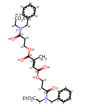 CCOC(=O)CN(Cc1ccccc1)C(=O)CCOC(=O)/C=C(\C)C(=O)OCCC(=O)N(CC(=O)OCC)Cc1ccccc1